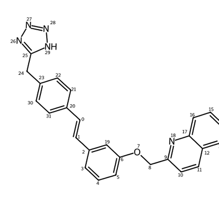 C(=Cc1cccc(OCc2ccc3ccccc3n2)c1)c1ccc(Cc2nnn[nH]2)cc1